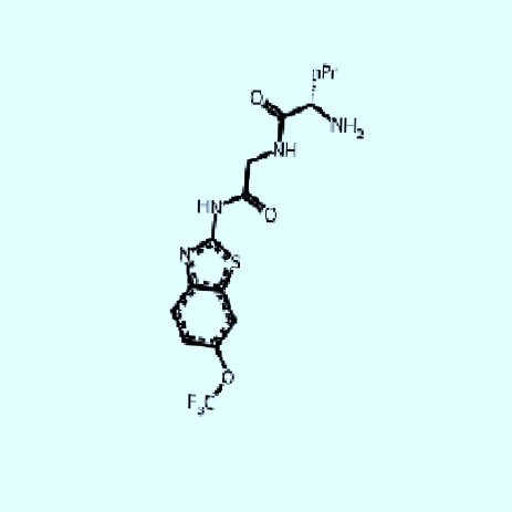 CCC[C@H](N)C(=O)NCC(=O)Nc1nc2ccc(OC(F)(F)F)cc2s1